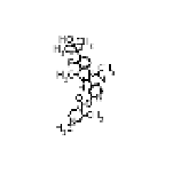 Cc1nc(NC(C)c2cccc(C(F)(F)C(C)(C)O)c2F)c2cc(OC(=O)N3CCN(C)CC3C)ncc2n1